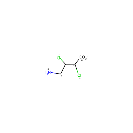 NCC(Cl)C(Cl)C(=O)O